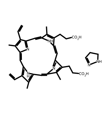 C1=NNCC1.C=CC1=C(C)c2cc3[nH]c(cc4nc(cc5[nH]c(cc1n2)c(C)c5CCC(=O)O)C(CCC(=O)O)=C4C)c(C)c3C=C